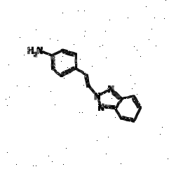 Nc1ccc(C=Cn2nc3ccccc3n2)cc1